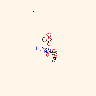 CC[C@H]1O[C@@H](n2cc(CO[C@H](c3ccccc3[N+](=O)[O-])C(C)(C)C)c(N)nc2=O)CC1O[Si](C)(C)C(C)(C)C